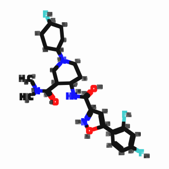 CN(C)C(=O)C1CN(C2CCC(F)CC2)CCC1NC(=O)c1cc(-c2ccc(F)cc2F)on1